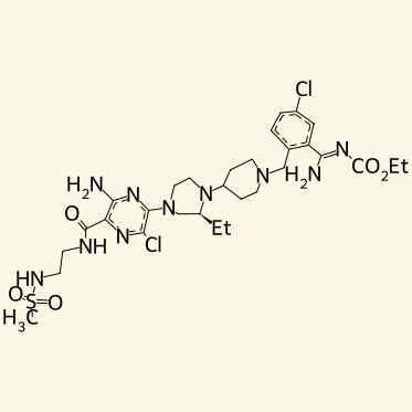 CCOC(=O)/N=C(\N)c1cc(Cl)ccc1CN1CCC(N2CCN(c3nc(N)c(C(=O)NCCNS(C)(=O)=O)nc3Cl)C[C@@H]2CC)CC1